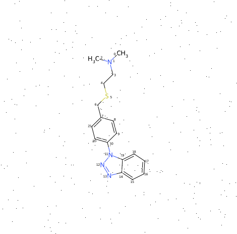 CN(C)CCSCc1ccc(-n2nnc3ccccc32)cc1